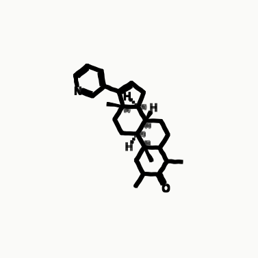 CC1C[C@@]2(C)C(CC[C@@H]3[C@@H]2CC[C@]2(C)C(c4cccnc4)=CC[C@@H]32)C(C)C1=O